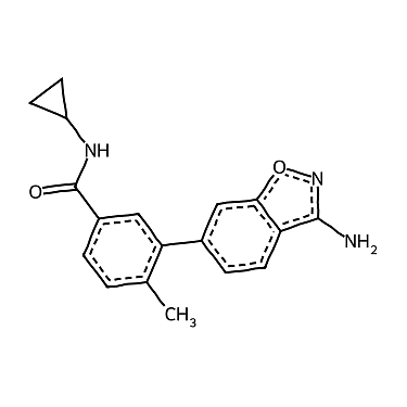 Cc1ccc(C(=O)NC2CC2)cc1-c1ccc2c(N)noc2c1